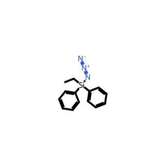 CC[Si](N=[N+]=[N-])(c1ccccc1)c1ccccc1